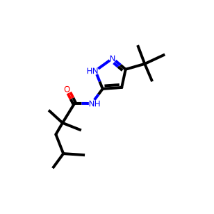 CC(C)CC(C)(C)C(=O)Nc1cc(C(C)(C)C)n[nH]1